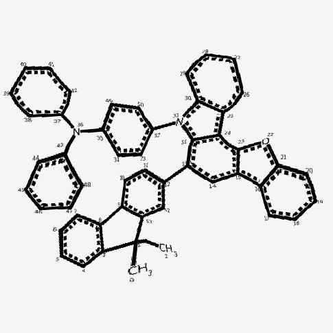 CC1(C)c2ccccc2-c2ccc(-c3cc4c5ccccc5oc4c4c5ccccc5n(-c5ccc(N(c6ccccc6)c6ccccc6)cc5)c34)cc21